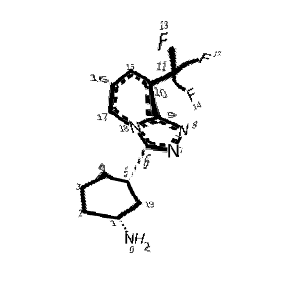 N[C@@H]1CCC[C@H](c2nnc3c(C(F)(F)F)cccn23)C1